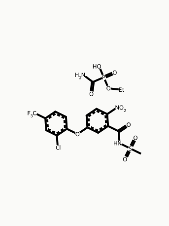 CCOP(=O)(O)C(N)=O.CS(=O)(=O)NC(=O)c1cc(Oc2ccc(C(F)(F)F)cc2Cl)ccc1[N+](=O)[O-]